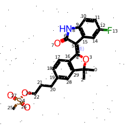 CC1(C)O/C(=C2/C(=O)Nc3ccc(F)cc32)c2ccc(CCCOS(C)(=O)=O)cc21